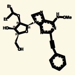 CCC(CC)O[C@@H]1[C@H](O)[C@@H](CO)O[C@H]1n1cnc2c(NOC)nc(C#Cc3ccccc3)nc21